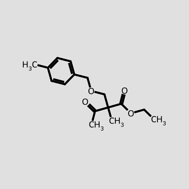 CCOC(=O)C(C)(COCc1ccc(C)cc1)C(C)=O